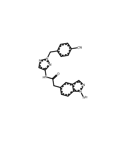 CCCn1ncc2cc(CC(=O)Nc3cnn(Cc4ccc(C#N)cc4)n3)ccc21